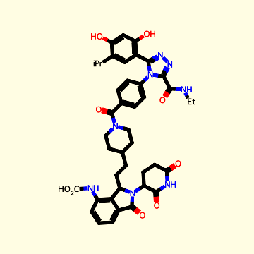 CCNC(=O)c1nnc(-c2cc(C(C)C)c(O)cc2O)n1-c1ccc(C(=O)N2CCC(CCC3c4c(NC(=O)O)cccc4C(=O)N3C3CCC(=O)NC3=O)CC2)cc1